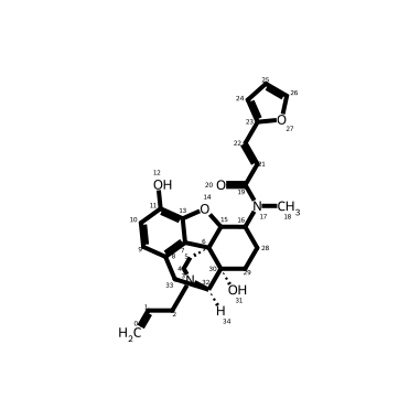 C=CCN1CC[C@]23c4c5ccc(O)c4OC2C(N(C)C(=O)/C=C/c2ccco2)CC[C@@]3(O)[C@H]1C5